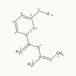 C=C(S/C(C)=C\C)C1C=CC=C(CF)C1